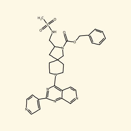 CS(=O)(=O)NCC1CC2(CCN(c3nc(-c4ccncc4)nc4cnccc34)CC2)CN1C(=O)OCc1ccccc1